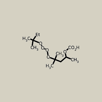 CCC(C)(C)OOOOC(C)(C)CC(C)OC(=O)O